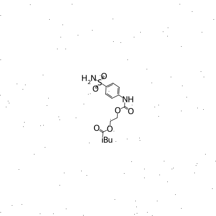 CCC(C)C(=O)OCCOC(=O)Nc1ccc(S(N)(=O)=O)cc1